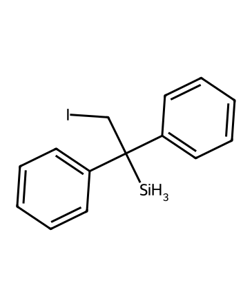 [SiH3]C(CI)(c1ccccc1)c1ccccc1